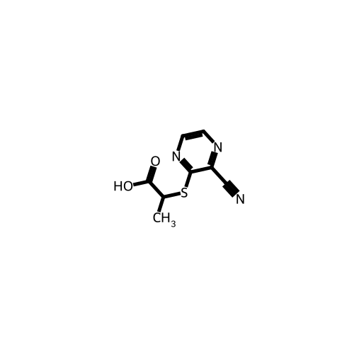 CC(Sc1nccnc1C#N)C(=O)O